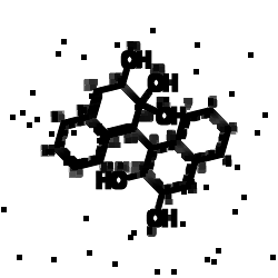 Oc1cc2ccccc2c(C2=c3ccccc3=CC(O)C2(O)O)c1O